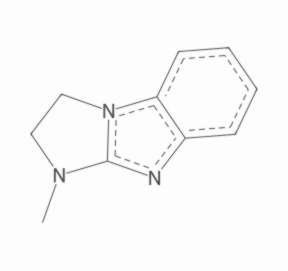 CN1CCn2c1nc1ccccc12